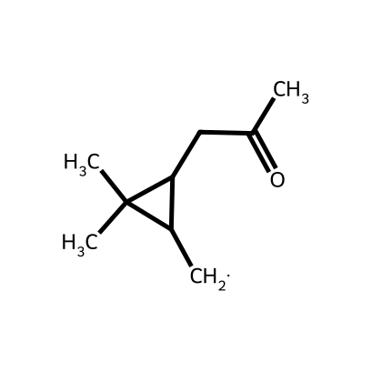 [CH2]C1C(CC(C)=O)C1(C)C